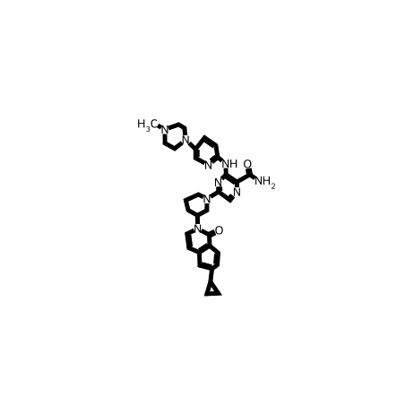 CN1CCN(c2ccc(Nc3nc(N4CCCC(n5ccc6cc(C7CC7)ccc6c5=O)C4)cnc3C(N)=O)nc2)CC1